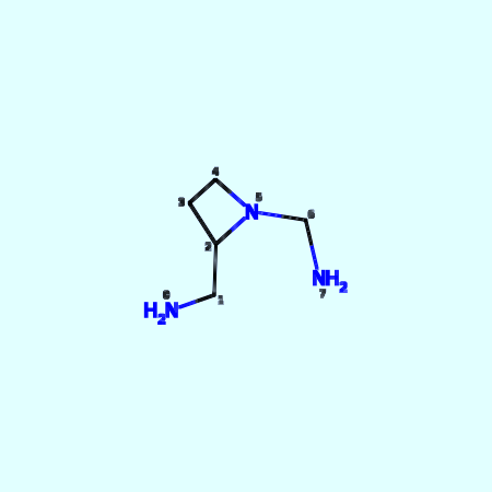 NCC1CCN1CN